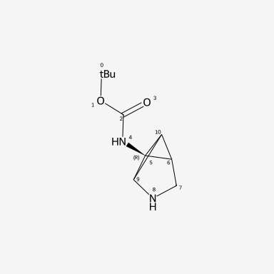 CC(C)(C)OC(=O)N[C@@]12C3CNC1C32